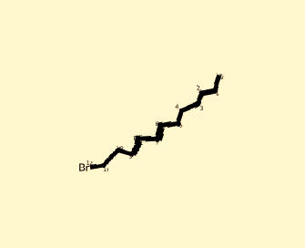 CCCCCCC=CC=CCCBr